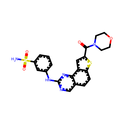 NS(=O)(=O)c1cccc(Nc2ncc3ccc4sc(C(=O)N5CCOCC5)cc4c3n2)c1